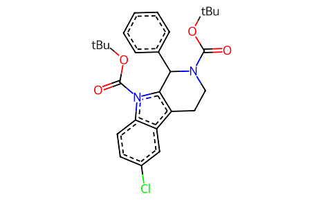 CC(C)(C)OC(=O)N1CCc2c(n(C(=O)OC(C)(C)C)c3ccc(Cl)cc23)C1c1ccccc1